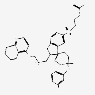 C[C@@H](COc1ccnc2c1[C@H](C)CCC2)CC1Cc2ccc(S(=O)(=O)CCCC(N)=O)cc2C12CCC(Nc1cccc(Cl)c1)(C(=O)O)CC2